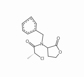 C[C@@H](Cl)C(=O)N(Cc1ccccc1)C1CCOC1=O